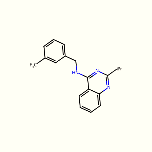 CC(C)c1nc(NCc2cccc(C(F)(F)F)c2)c2ccccc2n1